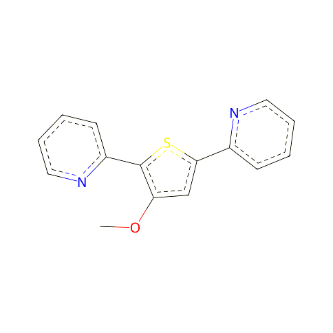 COc1cc(-c2ccccn2)sc1-c1ccccn1